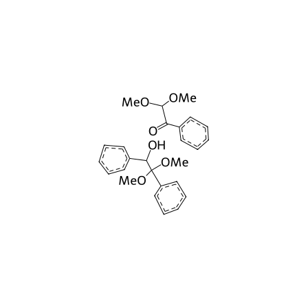 COC(OC)(c1ccccc1)C(O)c1ccccc1.COC(OC)C(=O)c1ccccc1